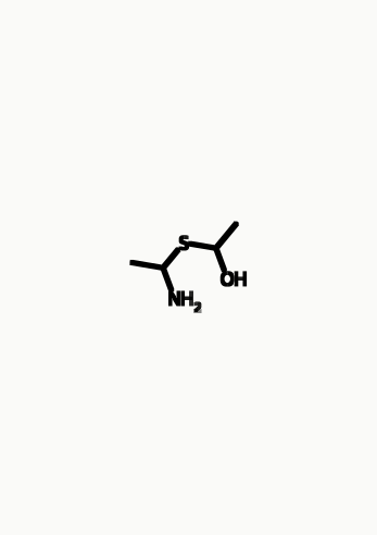 CC(N)SC(C)O